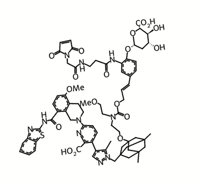 COCCN(CCOC12CC3(C)CC(C)(CC(Cn4ncc(-c5ccc(N6CCc7c(OC)ccc(C(=O)Nc8nc9ccccc9s8)c7C6)nc5C(=O)O)c4C)(C3)C1)C2)C(=O)OC/C=C/c1ccc(O[C@H]2C[C@@H](O)[C@H](O)[C@@H](C(=O)O)O2)c(NC(=O)CCNC(=O)CN2C(=O)C=CC2=O)c1